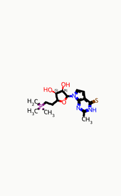 C=P(C)(C)CCC1OC(n2ccc3c(=S)[nH]c(C)nc32)[C@H](O)[C@@H]1O